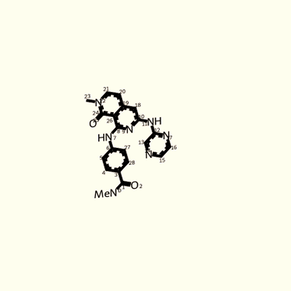 CNC(=O)c1ccc(Nc2nc(Nc3cnccn3)cc3ccn(C)c(=O)c23)cc1